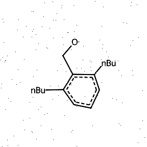 CCCCc1cccc(CCCC)c1C[O]